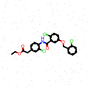 CCOC(=O)Cc1ccc(NC(=O)c2cc(OCc3ccccc3Cl)ccc2Cl)c(Cl)c1